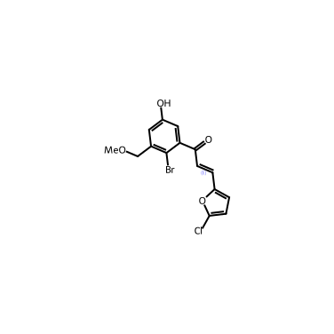 COCc1cc(O)cc(C(=O)/C=C/c2ccc(Cl)o2)c1Br